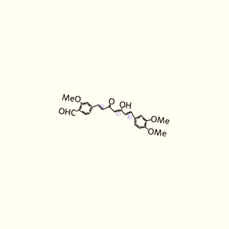 COc1cc(/C=C/C(=O)/C=C(O)/C=C/c2ccc(OC)c(OC)c2)ccc1C=O